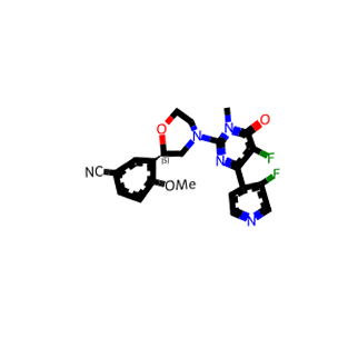 COc1ccc(C#N)cc1[C@H]1CN(c2nc(-c3ccncc3F)c(F)c(=O)n2C)CCO1